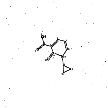 O=C(O)c1cccn(C2CC2)c1=O